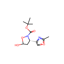 Cc1nc([C@@H]2CC(O)ON2C(=O)OC(C)(C)C)co1